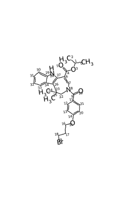 CC(C)OC(=O)C1=CN(C(=O)c2ccc(OCCCBr)cc2)CC(C)(C)c2c1[nH]c1ccccc21